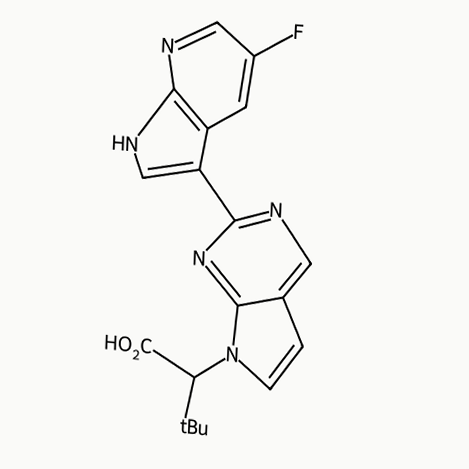 CC(C)(C)C(C(=O)O)n1ccc2cnc(-c3c[nH]c4ncc(F)cc34)nc21